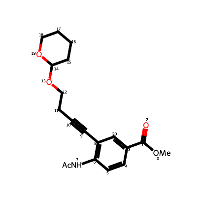 COC(=O)c1ccc(NC(C)=O)c(C#CCCOC2CCCCO2)c1